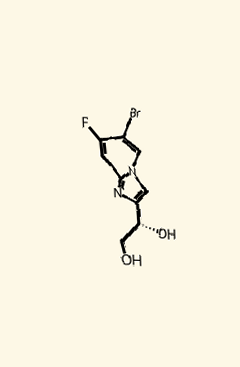 OC[C@@H](O)c1cn2cc(Br)c(F)cc2n1